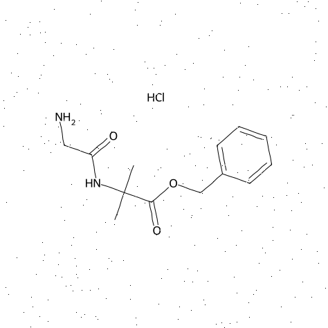 CC(C)(NC(=O)CN)C(=O)OCc1ccccc1.Cl